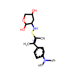 CCCN(CCC)c1ccc(/C(C)=C(\C#N)SNC2CC(O)COC2O)cc1